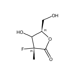 C[C@]1(F)C(=O)O[C@H](CO)C1O